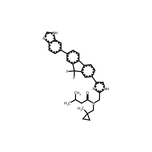 CC(C)CC(=O)N(Cc1nc(-c2ccc3c(c2)C(F)(F)c2cc(-c4ccc5nc[nH]c5c4)ccc2-3)c[nH]1)CC1(C)CC1